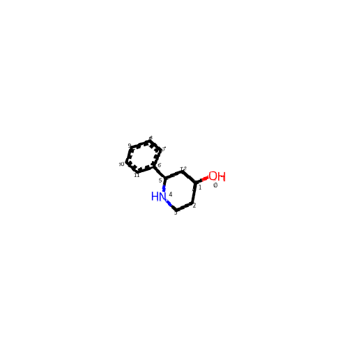 OC1CCNC(c2ccccc2)C1